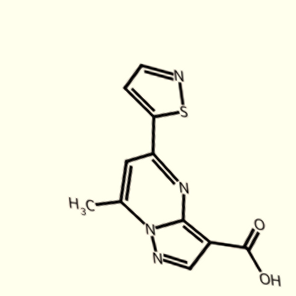 Cc1cc(-c2ccns2)nc2c(C(=O)O)cnn12